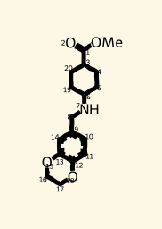 COC(=O)C1CCC(NCc2ccc3c(c2)OCCO3)CC1